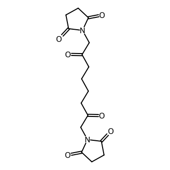 O=C(CCCCC(=O)CN1C(=O)CCC1=O)CN1C(=O)CCC1=O